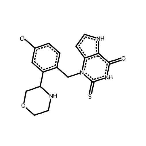 O=c1[nH]c(=S)n(Cc2ccc(Cl)cc2C2COCCN2)c2cc[nH]c12